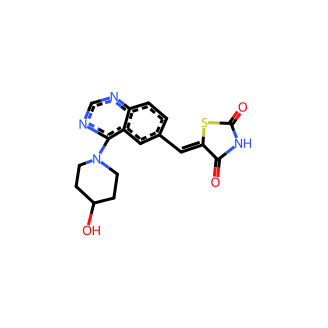 O=C1NC(=O)/C(=C/c2ccc3ncnc(N4CCC(O)CC4)c3c2)S1